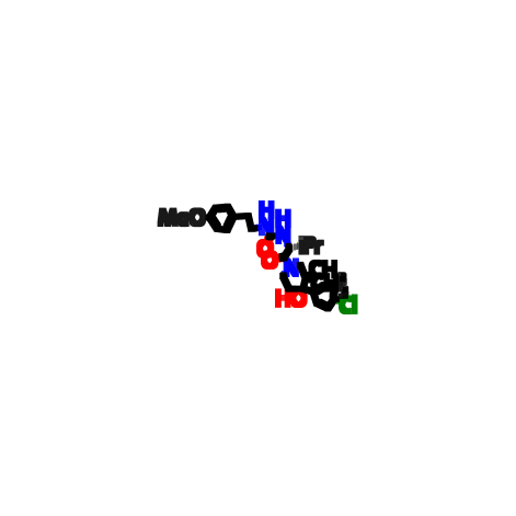 COc1ccc(CCNC(=O)N[C@@H](C(=O)N2CCC(O)(c3ccc(Cl)cc3)C(C)(C)C2)C(C)C)cc1